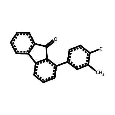 Cc1cc(-c2cccc3c2C(=O)c2ccccc2-3)ccc1Cl